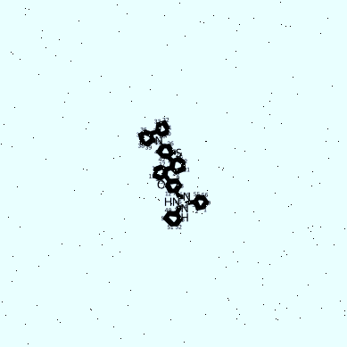 c1ccc(C2=NC(c3ccc4c(c3)oc3cccc(-c5cccc6sc7cc(-n8c9ccccc9c9ccccc98)ccc7c56)c34)NC(c3ccccc3)N2)cc1